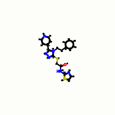 O=C(CSc1nnc(-c2ccncc2)n1CCc1ccccc1)Nc1nccs1